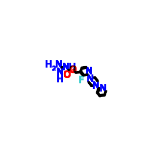 N=C(N)NC(=O)OCc1ccnc(N2CCN(c3ccccn3)CC2)c1F